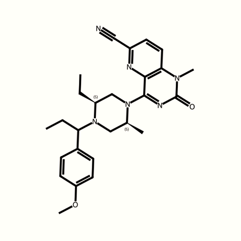 CCC(c1ccc(OC)cc1)N1C[C@H](C)N(c2nc(=O)n(C)c3ccc(C#N)nc23)C[C@@H]1CC